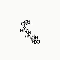 CNC(=O)[C@H]1C[C@@H](Nc2cc(C(=O)NCC(O)CN3CCc4ccccc4C3)ncn2)C1